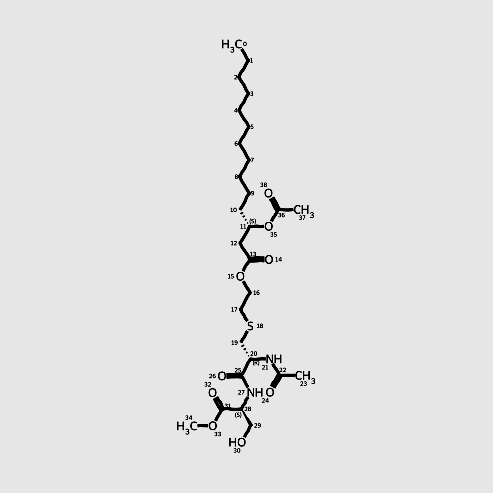 CCCCCCCCCCC[C@@H](CC(=O)OCCSC[C@H](NC(C)=O)C(=O)N[C@@H](CO)C(=O)OC)OC(C)=O